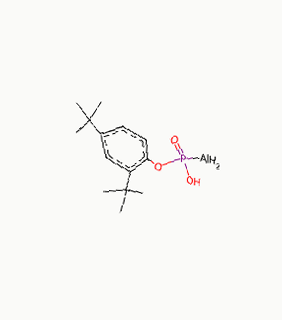 CC(C)(C)c1ccc(O[P](=O)(O)[AlH2])c(C(C)(C)C)c1